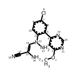 COc1cc(-c2cc(Cl)ccc2N(N)/C=C(\N)C#N)ncn1